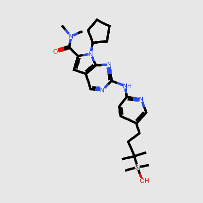 CN(C)C(=O)c1cc2cnc(Nc3ccc(CCC(C)(C)[Si](C)(C)O)cn3)nc2n1C1CCCC1